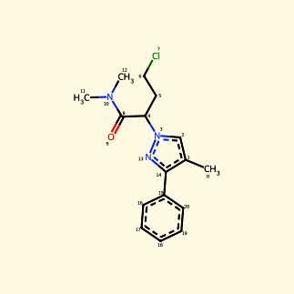 Cc1cn(C(CCCl)C(=O)N(C)C)nc1-c1ccccc1